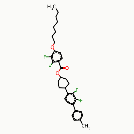 CCCCCCCCOc1ccc(C(=O)OC2CCC(c3ccc(-c4ccc(C)cc4)c(F)c3F)CC2)c(F)c1F